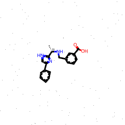 C[C@H](NCc1cccc(C(=O)O)c1)c1nc(-c2ccccc2)c[nH]1